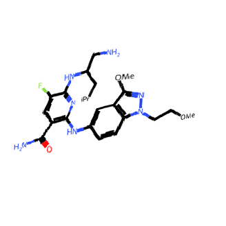 COCCn1nc(OC)c2cc(Nc3nc(NC(CN)CC(C)C)c(F)cc3C(N)=O)ccc21